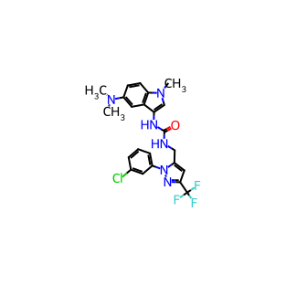 CN(C)c1ccc2c(c1)c(NC(=O)NCc1cc(C(F)(F)F)nn1-c1cccc(Cl)c1)cn2C